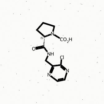 O=C(NCc1nccnc1Cl)[C@@H]1CCCN1C(=O)O